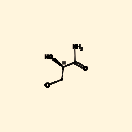 NC(=O)[C@H](O)C[O]